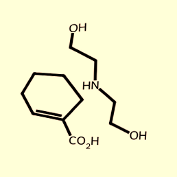 O=C(O)C1=CCCCC1.OCCNCCO